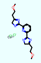 COCCC1=NC(c2cccc(C3=NCC(CCOC)=N3)n2)=NC1.[Cl-].[Cl-].[Co+2]